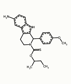 CCC(C)OC(=S)N1CCc2c([nH]c3ccc(N)cc23)C1c1ccc(OC)cc1